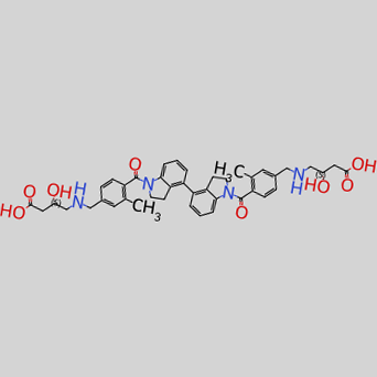 Cc1cc(CNC[C@@H](O)CC(=O)O)ccc1C(=O)N1CCc2c(-c3cccc4c3CCN4C(=O)c3ccc(CNC[C@@H](O)CC(=O)O)cc3C)cccc21